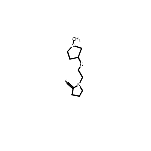 CN1CCC(OCCN2CCCC2=S)C1